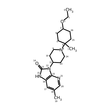 CCOC1CCC(C)(N2CCC(n3c(=O)[nH]c4cc(C)cnc43)CC2)CC1